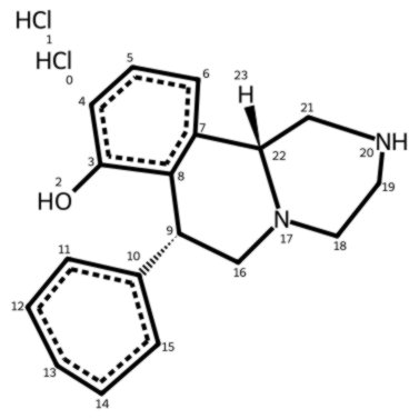 Cl.Cl.Oc1cccc2c1[C@@H](c1ccccc1)CN1CCNC[C@@H]21